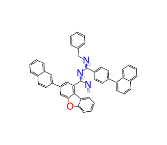 C=N/C(=N\C(=N/Cc1ccccc1)c1ccc(-c2cccc3ccccc23)cc1)c1cc(-c2ccc3ccccc3c2)cc2oc3ccccc3c12